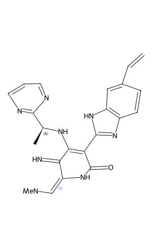 C=Cc1ccc2nc(C3=C(N[C@@H](C)c4ncccn4)C(=N)/C(=C\NC)NC3=O)[nH]c2c1